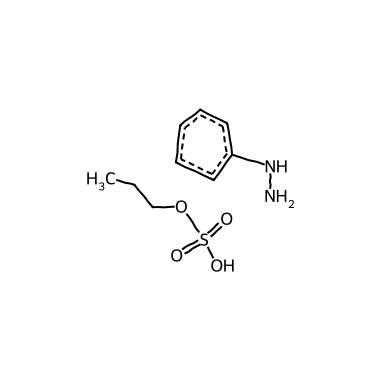 CCCOS(=O)(=O)O.NNc1ccccc1